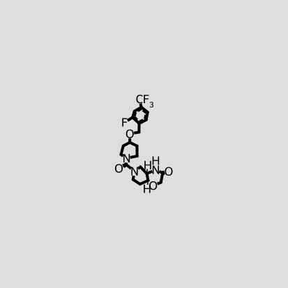 O=C1CO[C@H]2CCN(C(=O)N3CCC(OCc4ccc(C(F)(F)F)cc4F)CC3)C[C@H]2N1